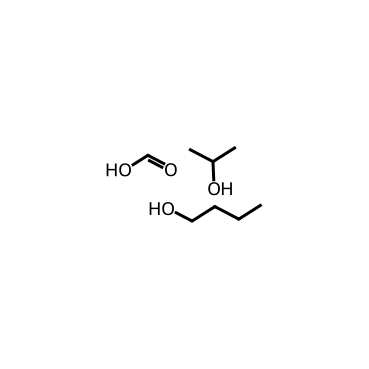 CC(C)O.CCCCO.O=CO